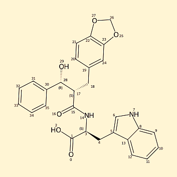 O=C(O)[C@H](Cc1c[nH]c2ccccc12)NC(=O)[C@@H](Cc1ccc2c(c1)OCO2)[C@@H](O)c1ccccc1